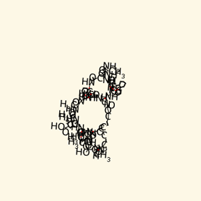 CC(=O)N1CCC[C@]12C/C=C\CCC[C@@]1(CCC/C=C/CCCOC(=O)N3CC4N[C@@H](Cc5ccccc5C(F)(F)F)C(=O)N[C@@H](Cc5csc6ccccc56)C(=O)N[C@H](C(=O)N[C@@H](C)C(N)=O)CCC(=O)NCCCC[C@H](NC(=O)[C@H](Cc5ccccc5)NC(=O)[C@H](C)NC(=O)C(C)(C)NC(=O)[C@H](Cc5cccc(C(=O)O)c5)NC(=O)[C@H](CC(=O)O)NC1=O)C(=O)N[C@@H]4C3)NC(O)[C@H](CC(C)(C)C)NC(=O)[C@H](CC(=O)O)NC2=O